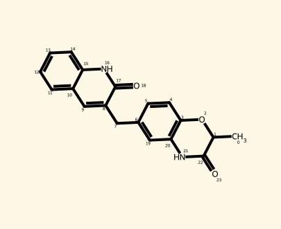 CC1Oc2ccc(Cc3cc4ccccc4[nH]c3=O)cc2NC1=O